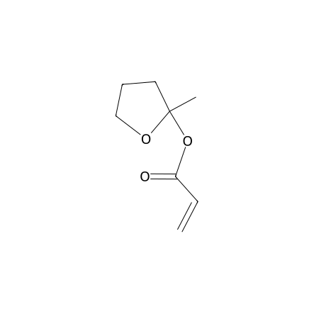 C=CC(=O)OC1(C)CCCO1